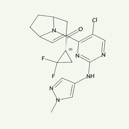 Cn1cc(Nc2ncc(Cl)c(C3=CC4CCC(C3)N4C(=O)[C@@H]3CC3(F)F)n2)cn1